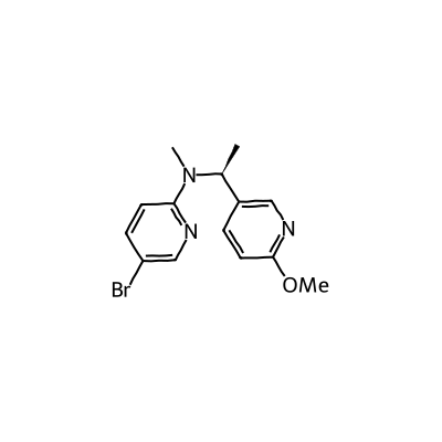 COc1ccc([C@H](C)N(C)c2ccc(Br)cn2)cn1